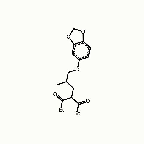 CCC(=O)C(CC(C)COc1ccc2c(c1)OCO2)C(=O)CC